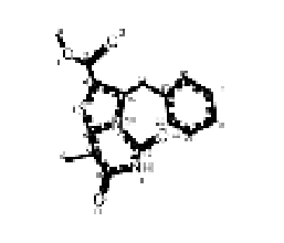 COC(=O)c1sc2c(C)c(=O)[nH]c(=O)n2c1Cc1ccccc1